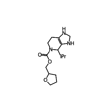 CC(C)C1C2=C(CCN1C(=O)OCC1CCCO1)NCN2